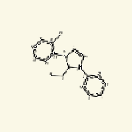 CCC1N(c2ccccc2)C=CN1c1ccccc1C